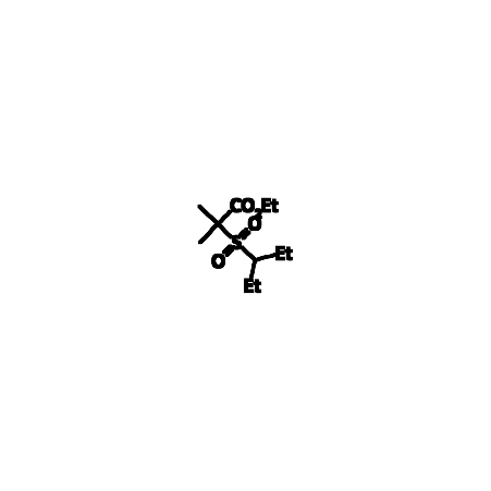 CCOC(=O)C(C)(C)S(=O)(=O)C(CC)CC